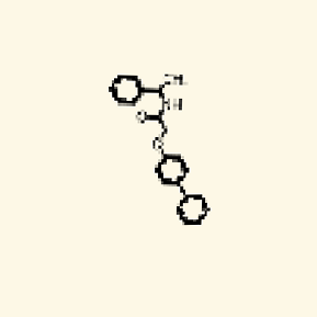 CC(NC(=O)COc1ccc(-c2ccccc2)cc1)c1ccccc1